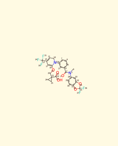 CN(C(=O)c1cccc(N2CC=C(C(F)(F)F)C=C2OCC2(C(=O)O)CC2)c1)c1ccc2c(c1)OC(F)(F)O2